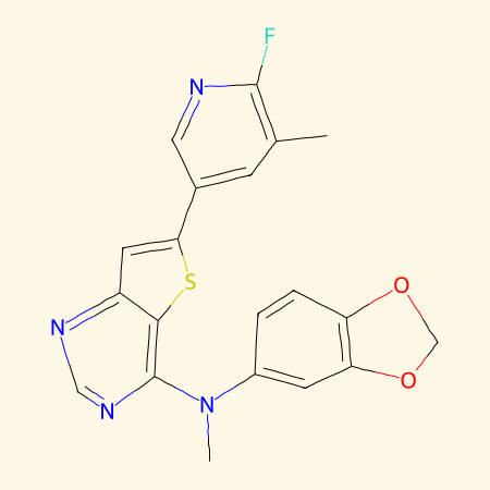 Cc1cc(-c2cc3ncnc(N(C)c4ccc5c(c4)OCO5)c3s2)cnc1F